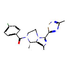 Cc1nsc(-c2nc(C(C)C)c3n2CCN(C(=O)c2ccc(F)cc2)[C@@H]3C)n1